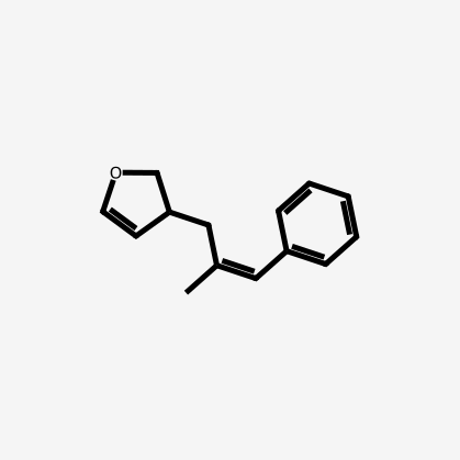 CC(=Cc1ccccc1)CC1C=COC1